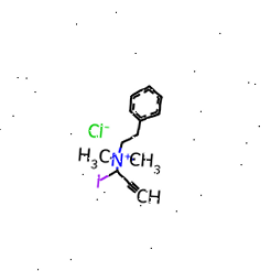 C#CC(I)[N+](C)(C)CCc1ccccc1.[Cl-]